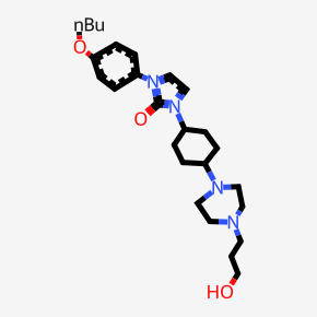 CCCCOc1ccc(-n2ccn(C3CCC(N4CCN(CCCO)CC4)CC3)c2=O)cc1